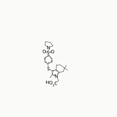 Cc1c(Sc2ccc(S(=O)(=O)N3CCCC3)cc2)c2c(n1CC(=O)O)CC(C)(C)CC2